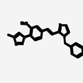 COc1cc(C=Cc2nccn2Cc2ccccc2)ccc1-n1cnc(C)c1